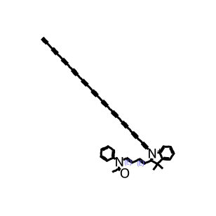 C#CC#CC#CC#CC#CC#CC#CC#CC#CC#CC#C[N+]1=C(/C=C/C=C/N(C(C)=O)c2ccccc2)C(C)(C)c2ccccc21